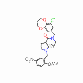 COc1ccc([N+](=O)[O-])cc1CN1CCC(C(=O)N(Cc2cc(Cl)c3c(c2)OCCCO3)CC(C)C)C1